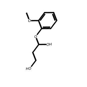 COc1ccccc1OC(O)CCO